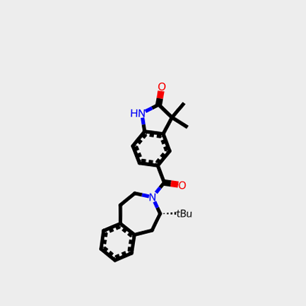 CC1(C)C(=O)Nc2ccc(C(=O)N3CCc4ccccc4C[C@H]3C(C)(C)C)cc21